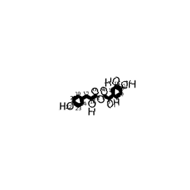 O=C(OC(=O)C(O)c1ccc(O)c(O)c1)C(O)Cc1ccc(O)cc1